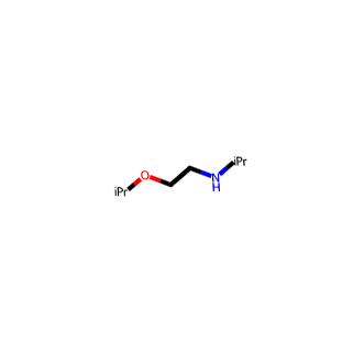 CC(C)NCCOC(C)C